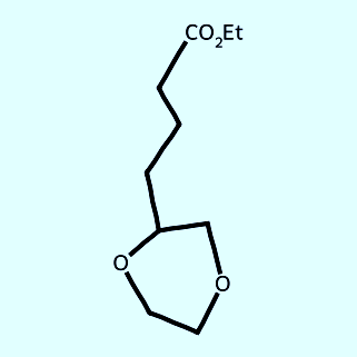 CCOC(=O)CCCC1COCCO1